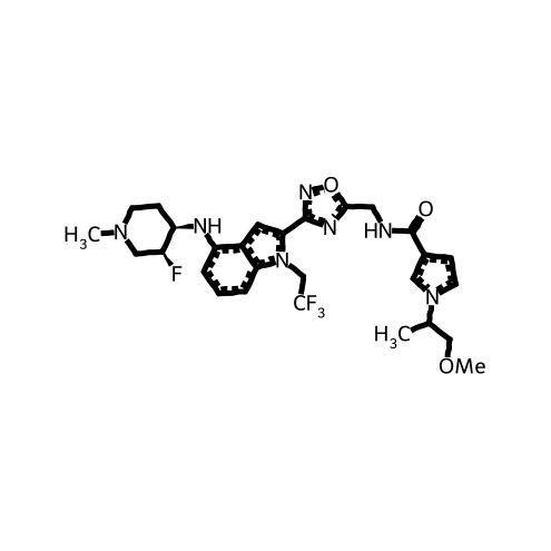 COCC(C)n1ccc(C(=O)NCc2nc(-c3cc4c(N[C@@H]5CCN(C)C[C@@H]5F)cccc4n3CC(F)(F)F)no2)c1